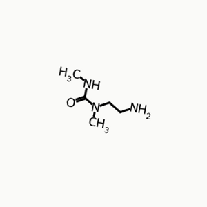 CNC(=O)N(C)CCN